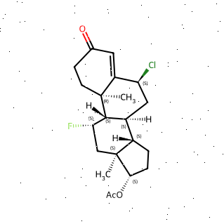 CC(=O)O[C@H]1CC[C@H]2[C@@H]3C[C@H](Cl)C4=CC(=O)CC[C@]4(C)[C@H]3[C@@H](F)C[C@]12C